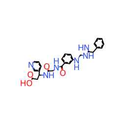 N=C(Cc1ccccc1)NCNc1cccc(C(=O)NCC(=O)NC(CC(=O)O)c2cccnc2)c1